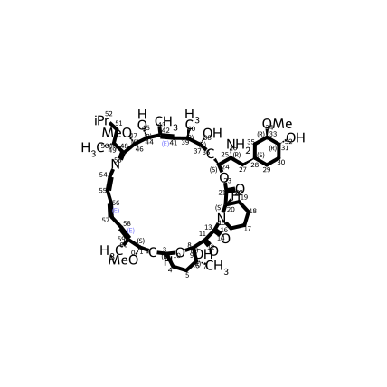 CO[C@H]1C[C@@H]2CC[C@@H](C)[C@@](O)(O2)C(=O)C(=O)N2CCCC[C@H]2C(=O)O[C@H]([C@H](N)C[C@@H]2CC[C@@H](O)[C@H](OC)C2)C[C@@H](O)[C@H](C)/C=C(\C)[C@@H](O)[C@@H](OC)C([C@H](C)CC(C)C)=NC=C/C=C/C=C/1C